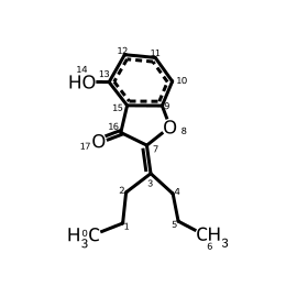 CCCC(CCC)=C1Oc2cccc(O)c2C1=O